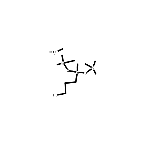 CC(=O)O.C[Si](C)(C)O[Si](C)(CCCO)O[Si](C)(C)C